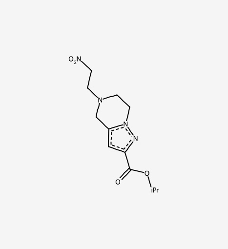 CC(C)OC(=O)c1cc2n(n1)CCN(CC[N+](=O)[O-])C2